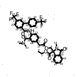 CCOC(=O)C1(COC(=O)Cc2ccc(NC(=O)c3ccc(C(F)(F)F)cc3-c3ccc(C(F)(F)F)cc3)c(C(=O)N(C)C)c2)c2ccccc2C(=O)N1C